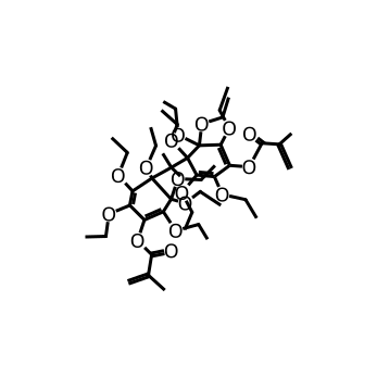 C=C(C)C(=O)OC1=C(OCC)C(OCC)(OCC)C(OCC)(C(C)(C)C2(OCC)C(OCC)=C(OCC)C(OC(=O)C(=C)C)=C(OCC)C2(OCC)OCC)C(OCC)=C1OCC